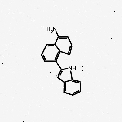 Nc1cccc2c(-c3nc4ccccc4[nH]3)cccc12